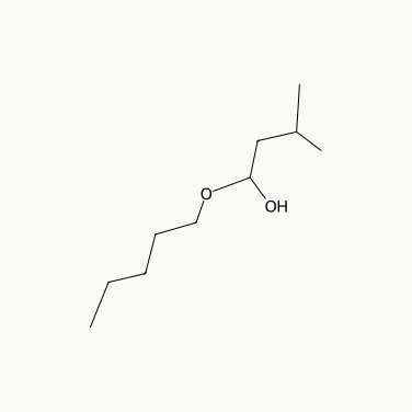 CCCCCOC(O)CC(C)C